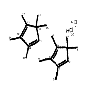 CC1=CC(C)(C)C(C)=C1C.CC1=CC(C)(C)C(C)=C1C.Cl.Cl